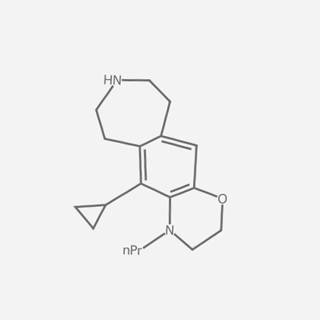 CCCN1CCOc2cc3c(c(C4CC4)c21)CCNCC3